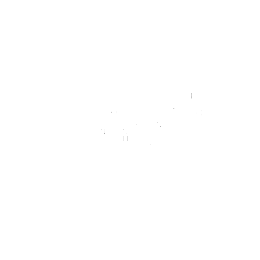 CC1(C)C2CN(C(=O)CNC(=O)N3CC4(C3)CC3(CCC3)O4)CC21